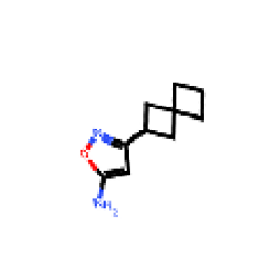 Nc1cc(C2CC3(CCC3)C2)no1